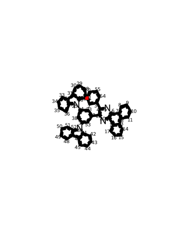 c1ccc(-c2nc3c4ccccc4c4ccccc4c3nc2-c2cc(-n3c4ccccc4c4ccccc43)cc(-n3c4ccccc4c4ccccc43)c2)cc1